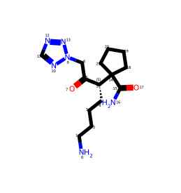 NCCCC[C@H](C(=O)Cn1ncnn1)C1(C(N)=O)CCCC1